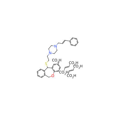 O=C(O)/C=C/C(=O)O.O=C(O)/C=C/C(=O)O.O=C(O)c1ccc2c(c1)C(SCCN1CCN(CC=Cc3ccccc3)CC1)c1ccccc1CO2